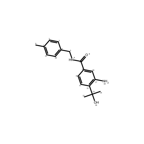 Cc1ccc(CNC(=O)c2ccc(C(C)(C)O)c(N)c2)cc1